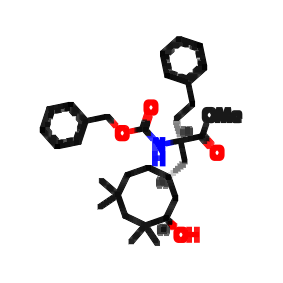 COC(=O)[C@@](CCc1ccccc1)(C[C@H]1CCC(C)(C)CC(C)(C)[C@H](O)C1)NC(=O)OCc1ccccc1